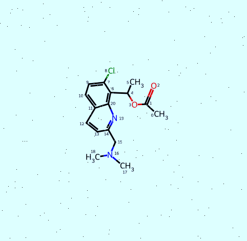 CC(=O)OC(C)c1c(Cl)ccc2ccc(CN(C)C)nc12